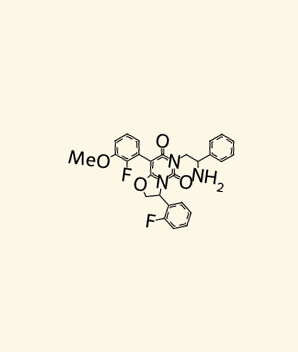 COc1cccc(-c2c3n(c(=O)n(CC(N)c4ccccc4)c2=O)C(c2ccccc2F)CO3)c1F